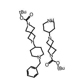 CC(C)(C)OC(=O)N1CC2(C1)CN(C1CCN(Cc3ccccc3)CC1)C2.CC(C)(C)OC(=O)N1CC2(C1)CN(C1CCNCC1)C2